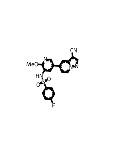 COc1ncc(-c2ccn3ncc(C#N)c3c2)cc1NS(=O)(=O)c1ccc(F)cc1